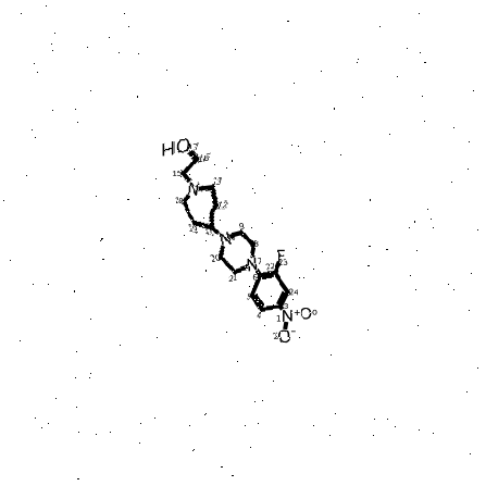 O=[N+]([O-])c1ccc(N2CCN(C3CCN(CCO)CC3)CC2)c(F)c1